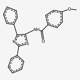 COc1ccc(C(=O)Nc2sc(-c3ccccc3)nc2-c2ccccc2)cc1